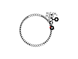 CC(C)(C)OC(=O)C(c1ccccc1)N1CN(c2ccccc2)C2(CCCCCCCCCCCCCCCCCCCCCCCCCCCCCCCCCCCCCCCCCCCCCCCCNCC2)C1=O